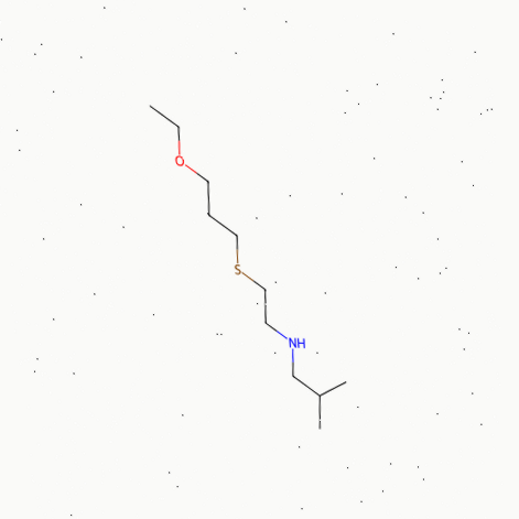 CCOCCCSCCNCC(C)C